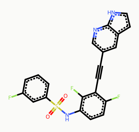 O=S(=O)(Nc1ccc(F)c(C#Cc2cnc3[nH]ccc3c2)c1F)c1cccc(F)c1